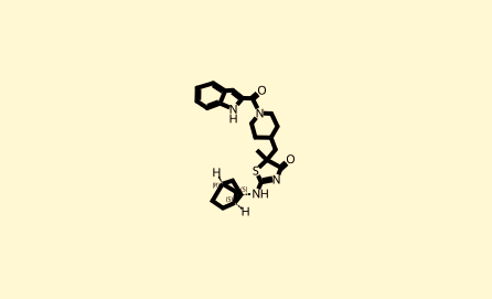 CC1(CC2CCN(C(=O)c3cc4ccccc4[nH]3)CC2)SC(N[C@H]2C[C@@H]3CC[C@H]2C3)=NC1=O